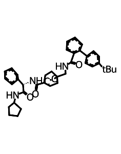 CC(C)(C)c1ccc(-c2ccccc2C(=O)NCC23CCC(C(=O)N[C@H](C(=O)NC4CCCC4)c4ccccc4)(CC2)CC3)cc1